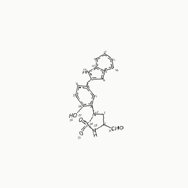 O=CC1CN(c2cc(-c3cc4ccccc4[nH]3)ccc2O)S(=O)(=O)N1